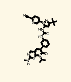 CNc1ncc2cc(-c3cccc(NC(=O)Nc4cc(C(C)(C)C)nn4-c4ccc(C#N)nc4)c3)c(=O)n(C(C)C)c2n1